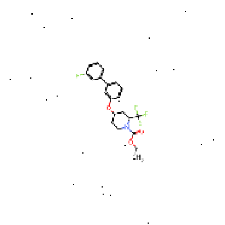 CCOC(=O)N1CCC(Oc2cccc(-c3cccc(F)c3)c2)CC1C(F)(F)F